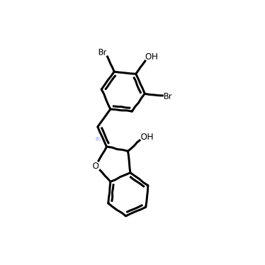 Oc1c(Br)cc(/C=C2/Oc3ccccc3C2O)cc1Br